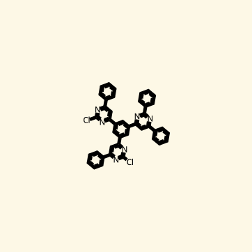 Clc1nc(-c2ccccc2)cc(-c2cc(-c3cc(-c4ccccc4)nc(Cl)n3)cc(-c3cc(-c4ccccc4)nc(-c4ccccc4)n3)c2)n1